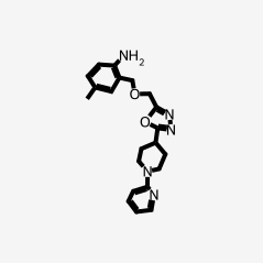 Cc1ccc(N)c(COCc2nnc(C3CCN(c4ccccn4)CC3)o2)c1